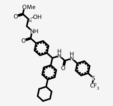 COC(=O)[C@H](O)CNC(=O)c1ccc(C(NC(=O)Nc2ccc(SC(F)(F)F)cc2)c2ccc(C3CCCCC3)cc2)cc1